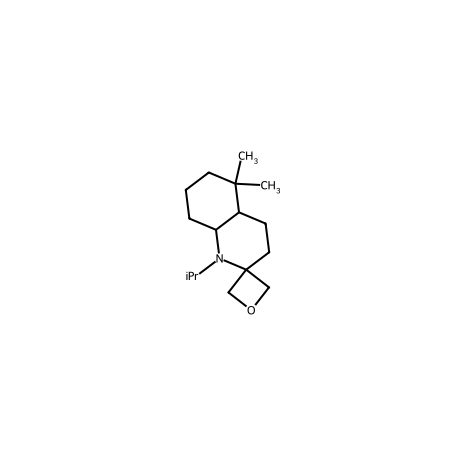 CC(C)N1C2CCCC(C)(C)C2CCC12COC2